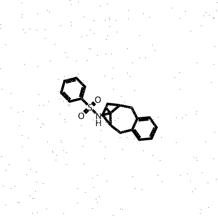 CC1(NS(=O)(=O)c2ccccc2)C2CCC1Cc1ccccc1C2